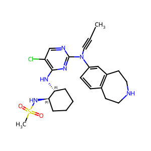 CC#CN(c1ccc2c(c1)CCNCC2)c1ncc(Cl)c(N[C@@H]2CCCC[C@H]2NS(C)(=O)=O)n1